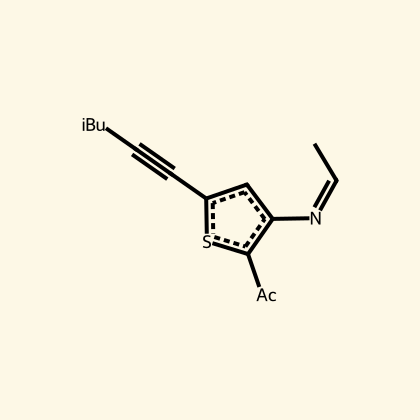 C/C=N\c1cc(C#CC(C)CC)sc1C(C)=O